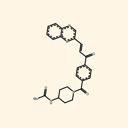 CC(C)(C)C(=O)NC1CCN(C(=O)c2ccc(C(=O)C=Cc3cnc4ccccc4n3)cc2)CC1